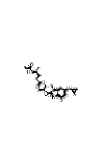 CC(=O)N[C@@H](C)CC[C@H]1OC[C@H](Oc2nc3c(F)cc(OC4CC4)cc3n2C)CO1